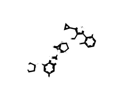 O=C(O)c1cc(O[C@H]2CCOC2)c2nc(N3C(=O)[C@@H]4C[C@H]3C[C@H]4OCc3c(-c4c(Cl)cccc4Cl)noc3C3CC3)sc2c1